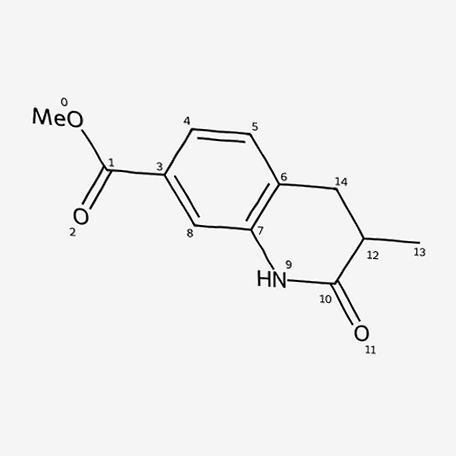 COC(=O)c1ccc2c(c1)NC(=O)C(C)C2